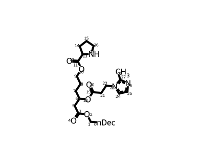 CCCCCCCCCCCOC(=O)CC(CCCOC(=O)C1CCCN1)OC(=O)CCn1ccnc1C